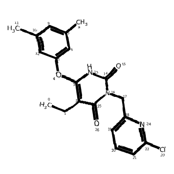 CCc1c(Oc2cc(C)cc(C)c2)[nH]c(=O)n(Cc2cccc(Cl)n2)c1=O